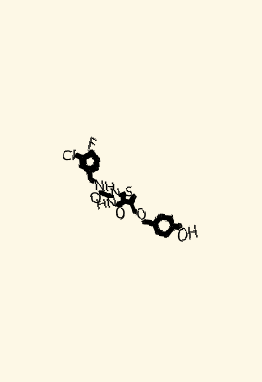 O=C(NCc1ccc(F)c(Cl)c1)c1nc2scc(COCC3CCC(CO)CC3)c2c(=O)[nH]1